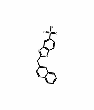 CCS(=O)(=O)c1ccc2oc(Cc3ccc4ccccc4c3)nc2c1